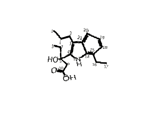 CCCc1c(C(O)(CC)CC(=O)O)[nH]c2c(CC)cccc12